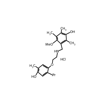 COc1c(C)c(C)c(O)c(C)c1CNCCOc1cc(C)c(O)cc1C(C)C.Cl